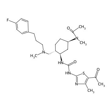 CC(=O)c1sc(NC(=O)N[C@@H]2C[C@H](N(C)C(C)=O)CC[C@H]2CN(C)CCCc2ccc(F)cc2)nc1C